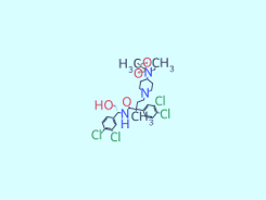 CCN(C1CCN(CCC(C)(C(=O)N[C@@H](CO)c2ccc(Cl)c(Cl)c2)c2ccc(Cl)c(Cl)c2)CC1)S(C)(=O)=O